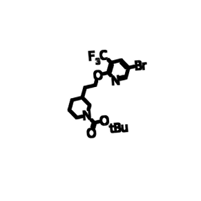 CC(C)(C)OC(=O)N1CCCC(CCOc2ncc(Br)cc2C(F)(F)F)C1